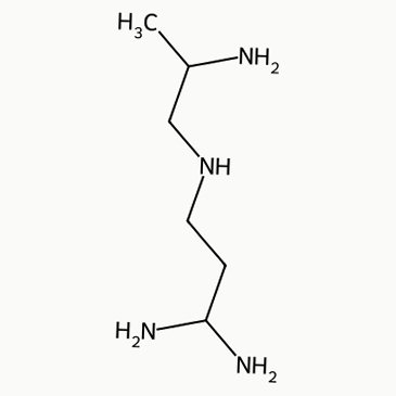 CC(N)CNCCC(N)N